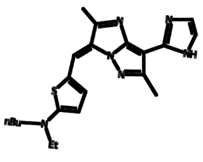 CCCCN(CC)c1ccc(/C=c2/c(C)nc3c(-c4ncc[nH]4)c(C)nn23)s1